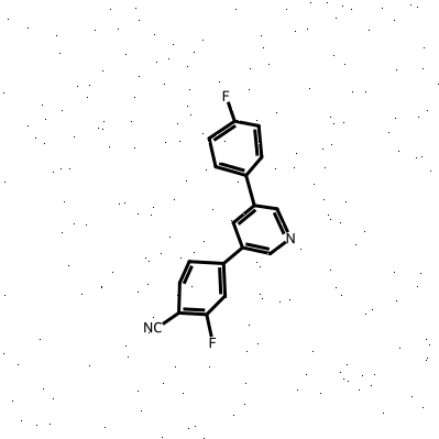 N#Cc1ccc(-c2cncc(-c3ccc(F)cc3)c2)cc1F